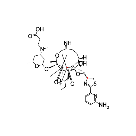 CCC(=O)/N=C1\[C@H](C)C[C@@]2(C)OCC(=N)CC[C@H]([C@@H](C)[C@H]1OCc1csc(-c3cccc(N)n3)n1)C(C)(O)[C@@H](CC)OC(=O)[C@@](C)(F)C(=O)C(C)[C@H]2O[C@H]1C[C@@H](N(C)CCC(=O)O)C[C@@H](C)O1